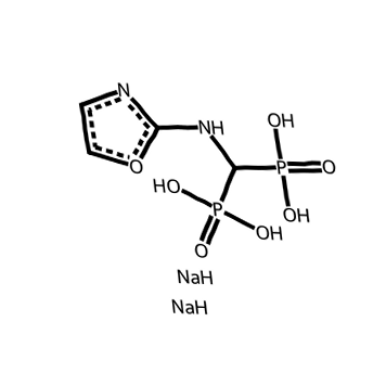 O=P(O)(O)C(Nc1ncco1)P(=O)(O)O.[NaH].[NaH]